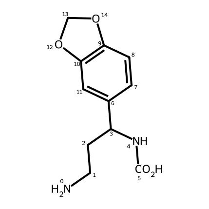 NCCC(NC(=O)O)c1ccc2c(c1)OCO2